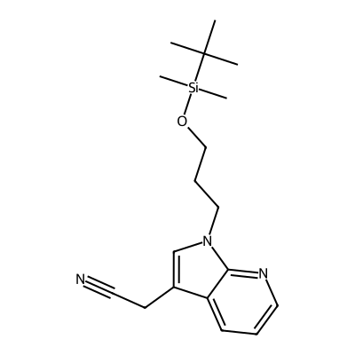 CC(C)(C)[Si](C)(C)OCCCn1cc(CC#N)c2cccnc21